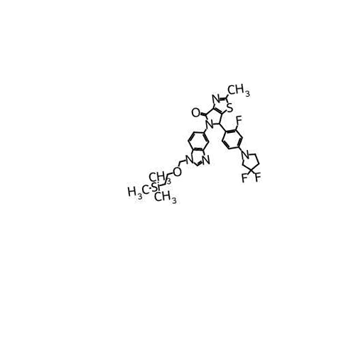 Cc1nc2c(s1)C(c1ccc(N3CCC(F)(F)C3)cc1F)N(c1ccc3c(c1)ncn3COCC[Si](C)(C)C)C2=O